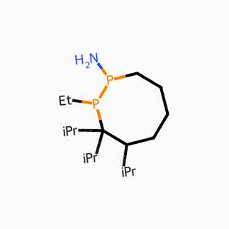 CCP1P(N)CCCCC(C(C)C)C1(C(C)C)C(C)C